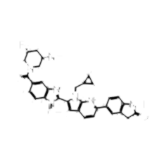 Cn1c(-c2cc3ccc(-c4ccc5c(c4)CC(=O)N5)nc3n2CC2CC2)nc2cc(C(=O)N3C[C@H](N)C[C@@H](F)C3)ccc21